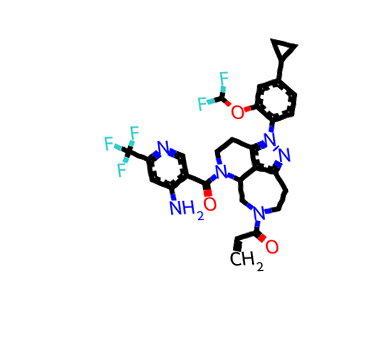 C=CC(=O)N1CCc2nn(-c3ccc(C4CC4)cc3OC(F)F)c3c2C(C1)N(C(=O)c1cnc(C(F)(F)F)cc1N)CC3